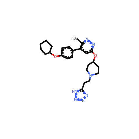 CCCCc1nnc(OC2CCN(CCc3nnn[nH]3)CC2)cc1-c1ccc(OC2CCCCC2)cc1